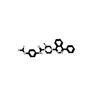 C[C@H]1CN(c2nnc(-c3ccccc3)c3ccccc23)CCN1C(=O)Nc1ccc(OC(F)F)cc1